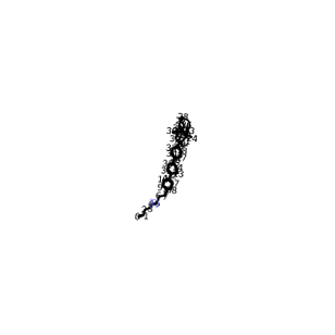 C=CCC/C=C/CCc1ccc(-c2ccc(-c3ccc(C4CC(C)(C)N(OC=C)C(C)(C)C4)cc3)cc2)cc1